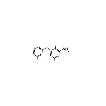 Cc1cccc(Cc2cc(C)cc(N)c2C)c1